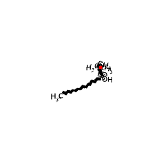 CCCCCCCCCCCCCCCCCP(=O)(O)OCC[N+](C)(C)C